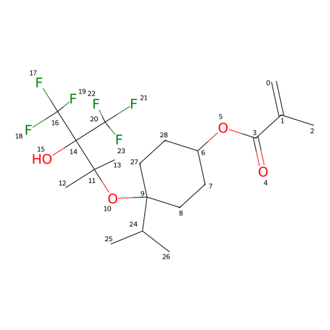 C=C(C)C(=O)OC1CCC(OC(C)(C)C(O)(C(F)(F)F)C(F)(F)F)(C(C)C)CC1